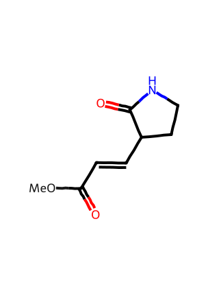 COC(=O)C=CC1CCNC1=O